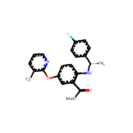 COC(=O)c1cc(Oc2ncccc2C(F)(F)F)ccc1N[C@@H](C)c1ccc(F)cc1